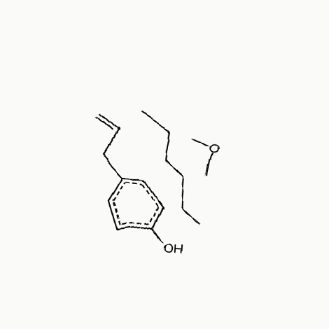 C=CCc1ccc(O)cc1.CCCCCC.COC